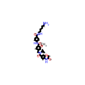 COc1cc(CN(C(=O)c2ccc3c(c2)OCC(=O)N3)C2CC2)ccc1C(=O)Nc1ccc(C(=O)NCCCCCCN)cc1